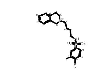 Cc1cc(S(=O)(=O)NCCCCN2CCc3ccccc3C2)ccc1F